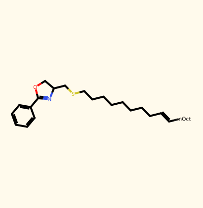 CCCCCCCCC=CCCCCCCCCSCC1COC(c2ccccc2)=N1